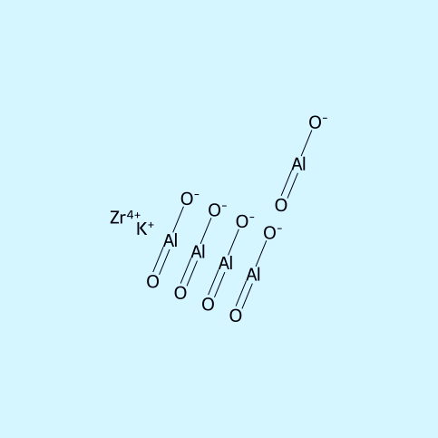 [K+].[O]=[Al][O-].[O]=[Al][O-].[O]=[Al][O-].[O]=[Al][O-].[O]=[Al][O-].[Zr+4]